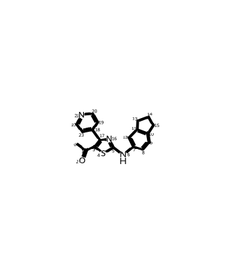 CC(=O)c1sc(Nc2ccc3c(c2)CCC3)nc1-c1ccncc1